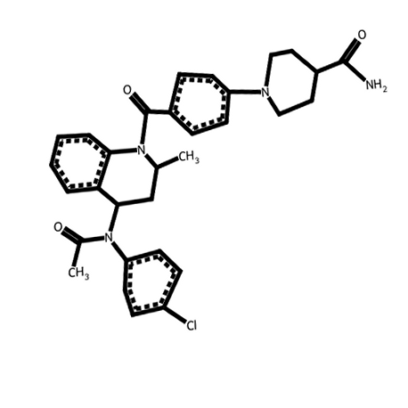 CC(=O)N(c1ccc(Cl)cc1)C1CC(C)N(C(=O)c2ccc(N3CCC(C(N)=O)CC3)cc2)c2ccccc21